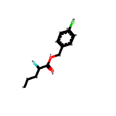 CCCC(F)C(=O)OCc1ccc(Cl)cc1